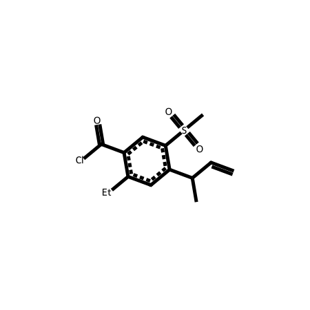 C=CC(C)c1cc(CC)c(C(=O)Cl)cc1S(C)(=O)=O